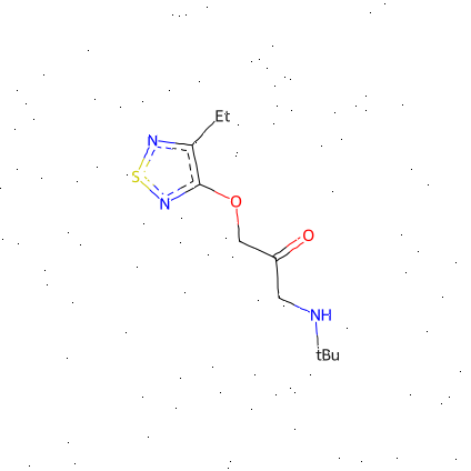 CCc1nsnc1OCC(=O)CNC(C)(C)C